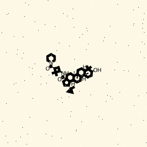 CC1([C@@H]2CC[C@]3(C(=O)N[C@@H]4C[C@H](C(=O)N5CCCCC5)C4(C)C)CC[C@]4(C)[C@H](CC[C@@H]5[C@@]6(C)CC[C@H](O)C(C)(C)[C@@H]6CC[C@]54C)C23)CC1